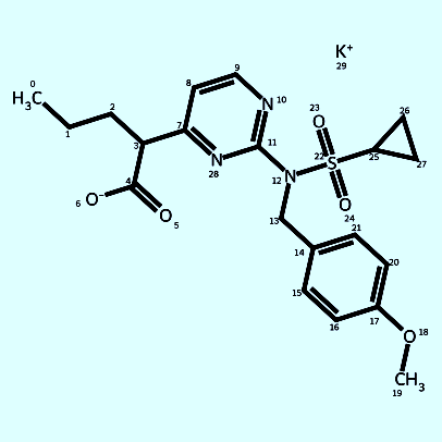 CCCC(C(=O)[O-])c1ccnc(N(Cc2ccc(OC)cc2)S(=O)(=O)C2CC2)n1.[K+]